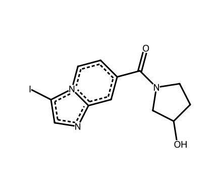 O=C(c1ccn2c(I)cnc2c1)N1CCC(O)C1